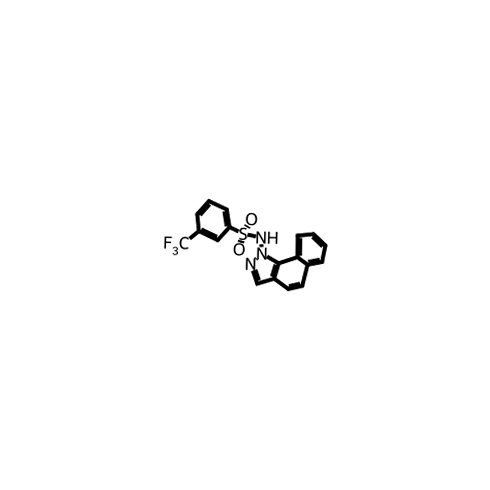 O=S(=O)(Nn1ncc2ccc3ccccc3c21)c1cccc(C(F)(F)F)c1